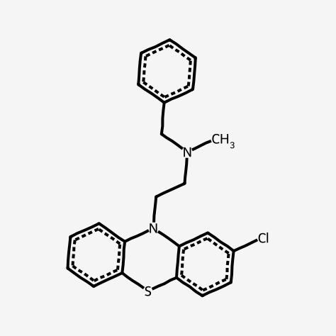 CN(CCN1c2ccccc2Sc2ccc(Cl)cc21)Cc1ccccc1